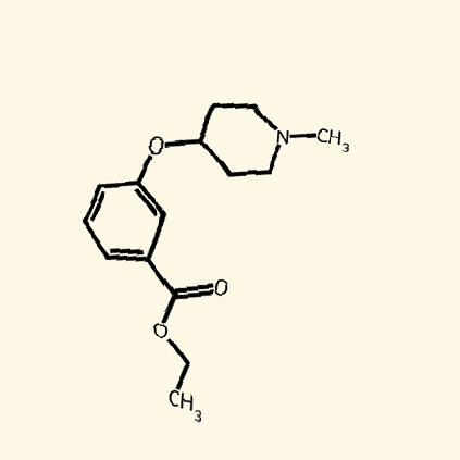 CCOC(=O)c1cccc(OC2CCN(C)CC2)c1